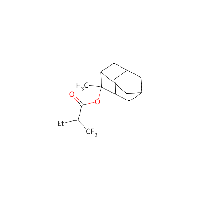 CCC(C(=O)OC1(C)C2CC3CC(C2)CC1C3)C(F)(F)F